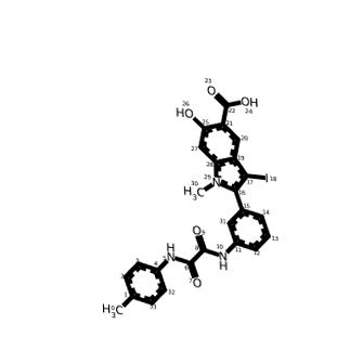 Cc1ccc(NC(=O)C(=O)Nc2cccc(-c3c(I)c4cc(C(=O)O)c(O)cc4n3C)c2)cc1